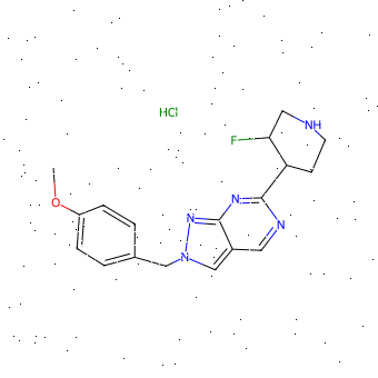 COc1ccc(Cn2cc3cnc(C4CCNCC4F)nc3n2)cc1.Cl